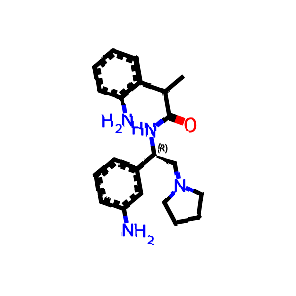 CC(C(=O)N[C@@H](CN1CCCC1)c1cccc(N)c1)c1ccccc1N